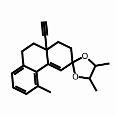 C#CC12CCc3cccc(C)c3C1=CC1(CC2)OC(C)C(C)O1